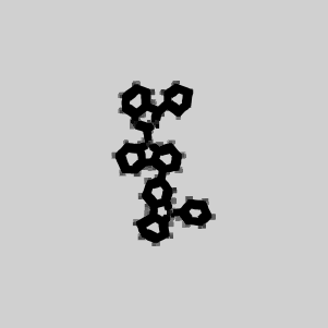 c1ccc(-c2nc(-n3c4ccccc4c4c(-c5ccc6c7ccccc7n(-c7ccccc7)c6c5)cccc43)nc3ccccc23)cc1